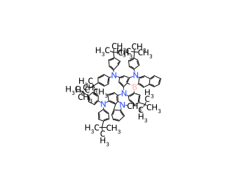 Cn1c2ccccc2c2c(N(c3ccc(C(C)(C)C)cc3)c3ccc(C(C)(C)C)cc3)ccc(N3c4ccc(C(C)(C)C)cc4B4c5cc6ccccc6cc5N(c5ccc(C(C)(C)C)cc5)c5cc(N(c6ccc(C(C)(C)C)cc6)c6ccc(C(C)(C)C)cc6)cc3c54)c21